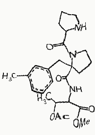 COC(=O)C(NC(=O)C1(Cc2cccc(C)c2)CCCN1C(=O)C1CCCN1)C(C)OC(C)=O